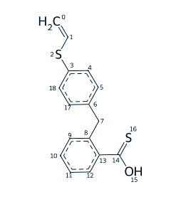 C=CSc1ccc(Cc2ccccc2C(O)=S)cc1